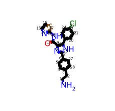 NCCc1ccc(-c2nc(C(=O)Nc3nccs3)c(-c3ccc(Cl)cc3)[nH]2)cc1